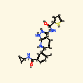 Cc1ccc(C(=O)NC2CC2)cc1-c1ccc2c(NC(=O)c3cccs3)n[nH]c2n1